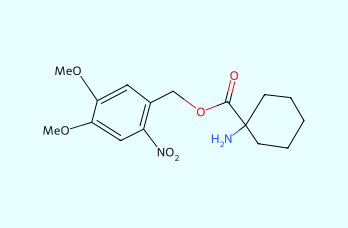 COc1cc(COC(=O)C2(N)CCCCC2)c([N+](=O)[O-])cc1OC